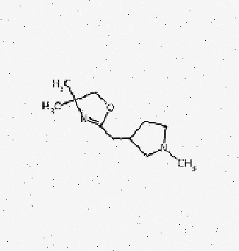 CN1CCC(CC2=NC(C)(C)CO2)C1